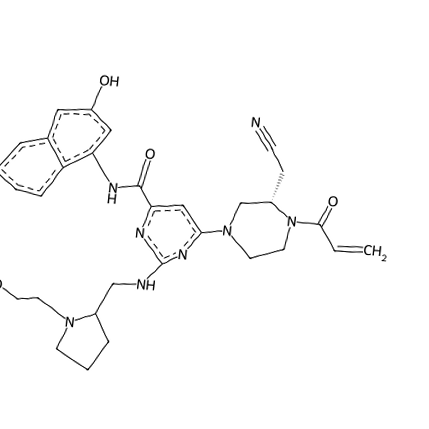 C=CC(=O)N1CCN(c2cc(C(=O)Nc3cc(O)cc4ccccc34)nc(NCC3CCCN3CCO)n2)C[C@@H]1CC#N